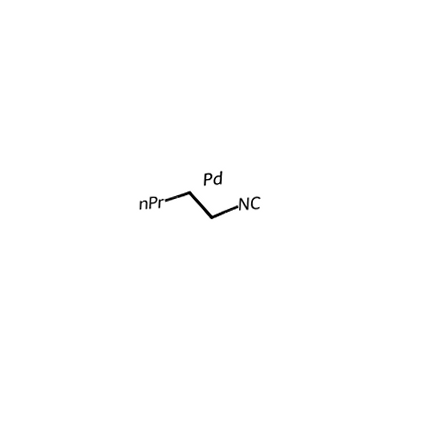 [C-]#[N+]CCCCC.[Pd]